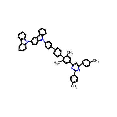 Cc1ccc(-c2cc(-c3cc(C)c(-c4ccc(-c5ccc(-n6c7ccccc7c7cc(-n8c9ccccc9c9ccccc98)ccc76)cc5)cc4)c(C)c3)nc(-c3ccc(C)cc3)n2)cc1